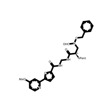 CCCCC[C@H](CN(C=O)OCc1ccccc1)C(=O)NCNC(=O)c1ccc(-c2cc(OC)ccn2)o1